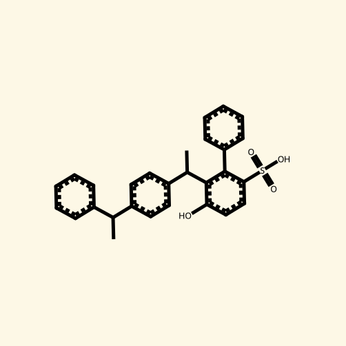 CC(c1ccccc1)c1ccc(C(C)c2c(O)ccc(S(=O)(=O)O)c2-c2ccccc2)cc1